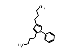 CCCCc1cc(CCCC)n(-c2ccccc2)c1